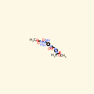 CCOC(=O)CNC(=O)NC(=N)c1ccc(N2CC(CN3CCN(C(C)C(=O)OC)CC3)OC2=O)cc1